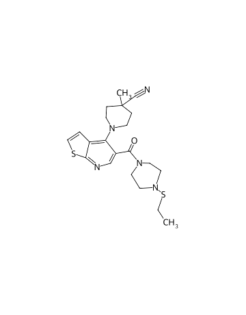 CCSN1CCN(C(=O)c2cnc3sccc3c2N2CCC(C)(C#N)CC2)CC1